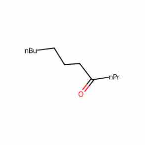 [CH2]CCCCCCC(=O)CCC